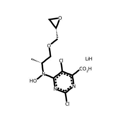 C[C@H](COC[C@@H]1CO1)N(O)c1nc(Cl)nc(C(=O)O)c1Cl.[LiH]